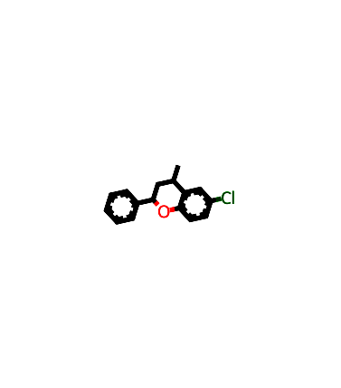 CC1CC(c2ccccc2)Oc2ccc(Cl)cc21